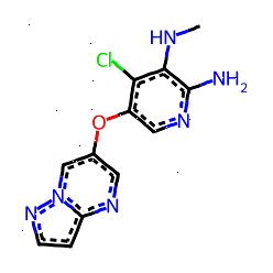 CNc1c(N)ncc(Oc2cnc3ccnn3c2)c1Cl